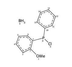 B.COc1ccccc1P(Cl)c1ccccc1